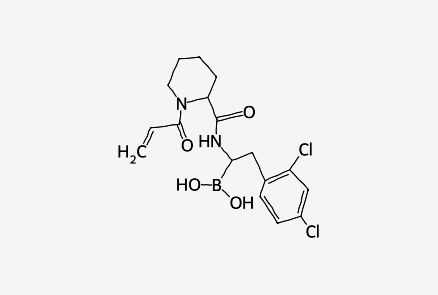 C=CC(=O)N1CCCCC1C(=O)NC(Cc1ccc(Cl)cc1Cl)B(O)O